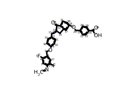 C=Nc1cc(F)c(COc2ccc(/C=C3\Cc4cc(OCc5ccc(C(=O)O)cc5)ccc4C3=O)cc2)cc1F